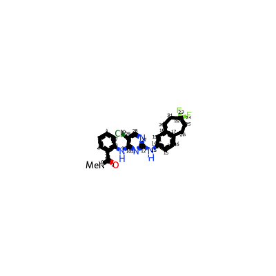 CNC(=O)c1ccccc1Nc1nc(Nc2ccc3c(c2)CCC(F)(F)CC3)ncc1Cl